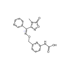 Cn1c(/C(=N\OCc2cccc(NC(=O)O)n2)c2cccnc2)noc1=O